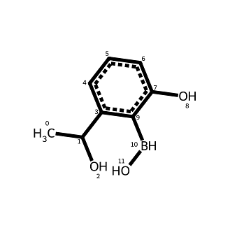 CC(O)c1cccc(O)c1BO